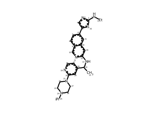 CCNc1ncc(-c2ccc3cnc(NC(C)c4ccnc(N5CCN(C(C)C)CC5)c4)cc3c2)s1